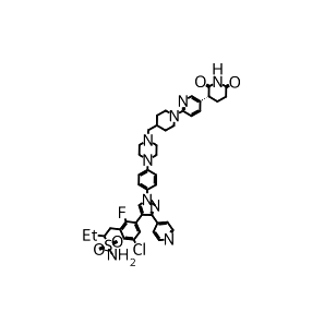 CCC(Cc1cc(Cl)cc(-c2cn(-c3ccc(N4CCN(CC5CCN(c6ccc([C@H]7CCC(=O)NC7=O)cn6)CC5)CC4)cc3)nc2-c2ccncc2)c1F)S(N)(=O)=O